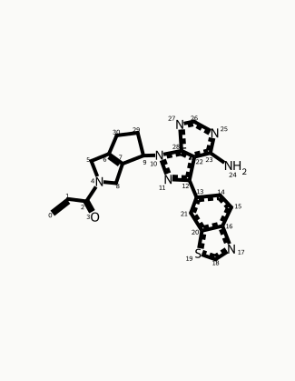 C=CC(=O)N1CC2=C(C1)C(n1nc(-c3ccc4ncsc4c3)c3c(N)ncnc31)CC2